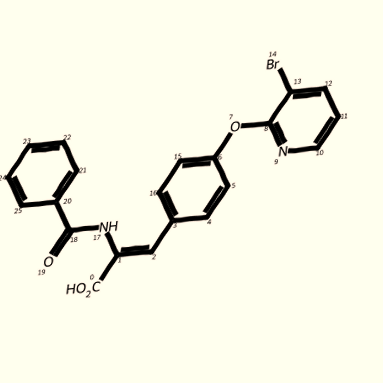 O=C(O)C(=Cc1ccc(Oc2ncccc2Br)cc1)NC(=O)c1ccccc1